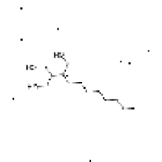 CCCCCCCCC(CO)=C(CO)CO